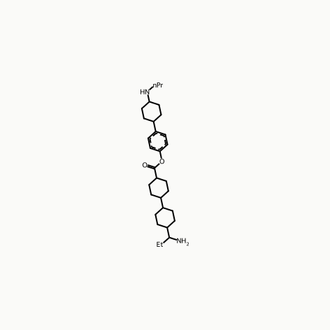 CCCNC1CCC(c2ccc(OC(=O)C3CCC(C4CCC(C(N)CC)CC4)CC3)cc2)CC1